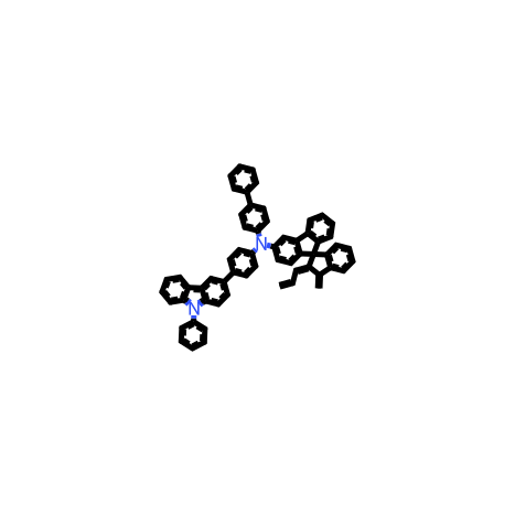 C=C/C=C1\C(=C)c2ccccc2C12c1ccccc1-c1cc(N(c3ccc(-c4ccccc4)cc3)c3ccc(-c4ccc5c(c4)c4ccccc4n5-c4ccccc4)cc3)ccc12